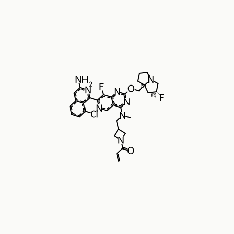 C=CC(=O)N1CC(CN(C)c2nc(OC[C@@]34CCCN3C[C@H](F)C4)nc3c(F)c(-c4nc(N)cc5cccc(Cl)c45)ncc23)C1